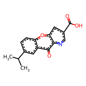 CC(C)c1ccc2oc3cc(C(=O)O)cnc3c(=O)c2c1